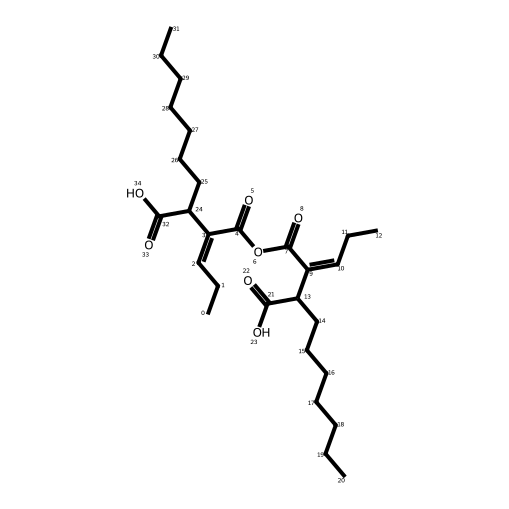 CC/C=C(\C(=O)OC(=O)/C(=C\CC)C(CCCCCCC)C(=O)O)C(CCCCCCC)C(=O)O